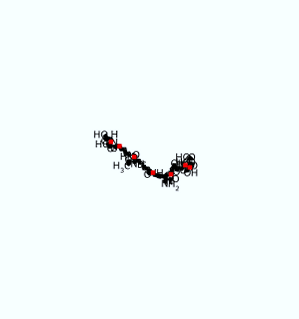 CC(=O)NC(CSSCCC(=O)NCC#Cc1cn(C2CC(O)C(COP(=O)(O)OP(=O)(O)OP(=O)(O)O)O2)c(=O)nc1N)C(=O)NCCCCCC(=O)NC(CC(=O)O)C(=O)O